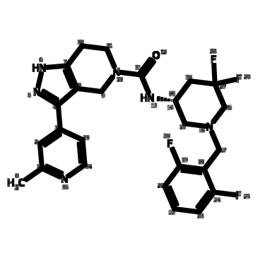 Cc1cc(-c2n[nH]c3c2CN(C(=O)N[C@H]2CN(Cc4c(F)cccc4F)CC(F)(F)C2)CC3)ccn1